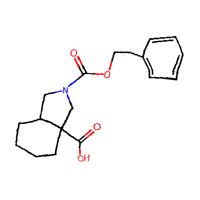 O=C(OCc1ccccc1)N1CC2CCCCC2(C(=O)O)C1